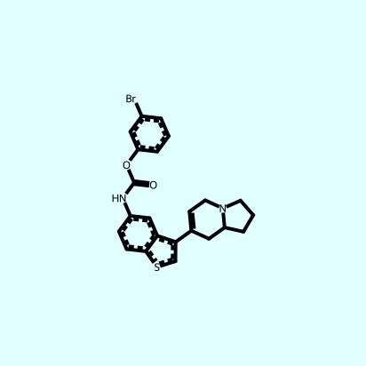 O=C(Nc1ccc2scc(C3=CCN4CCCC4C3)c2c1)Oc1cccc(Br)c1